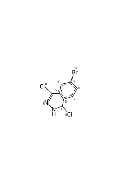 ClC1=NNC(Cl)c2ccc(Br)cc21